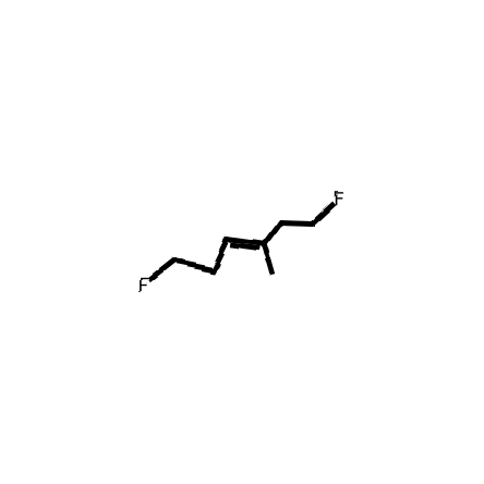 C/C(=C\CCF)CCF